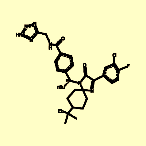 CCCC[C@H](c1ccc(C(=O)NCc2nn[nH]n2)cc1)N1C(=O)C(c2ccc(F)c(Cl)c2)=NC12CCC(C(C)(C)CC)CC2